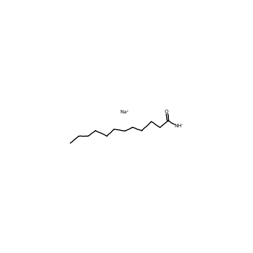 CCCCCCCCCCCC([NH-])=O.[Na+]